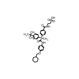 CC(C)(C)c1ccc(S(C)(C(=O)Nc2ccc(OCC3CCCCC3)cc2)c2ccc(C(=O)NCCS(=O)(=O)O)cc2)cc1